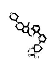 CO[C@H]1CN(c2cccc(-c3cccc(C)c3OCc3cc(C)c4c(c3)CCN(C3CCOCC3)C4)n2)CC[C@@H]1C(=O)O